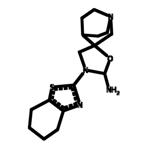 NC1OC2(CN3CCC2CC3)CN1c1nc2c(s1)CCCC2